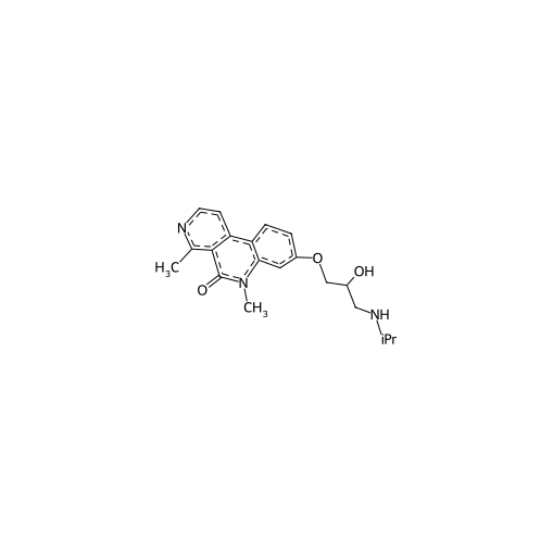 Cc1nccc2c1c(=O)n(C)c1cc(OCC(O)CNC(C)C)ccc21